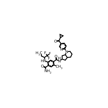 CCC(Nc1cc(C(=O)NC2CC3CCCN(c4ccc(C(=O)C5CC5)cn4)C3C2)c(C)cc1C(N)=O)C(F)(F)F